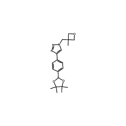 CC1(Cn2cc(-c3ccc(B4OC(C)(C)C(C)(C)O4)cc3)nn2)COC1